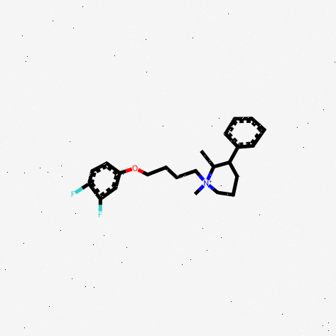 CC1C(c2ccccc2)[CH]CC[N+]1(C)CCCCOc1ccc(F)c(F)c1